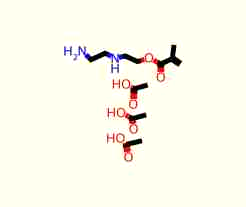 C=C(C)C(=O)OCCNCCN.CC(=O)O.CC(=O)O.CC(=O)O